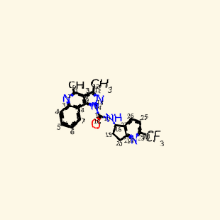 Cc1nc2ccccc2c2c1c(C)nn2C(=O)N[C@@H]1CCc2nc(C(F)(F)F)ccc21